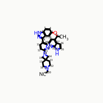 CC(Oc1ccc2[nH]nc(-c3ccc(N4CC5(CCN(CC#N)CC5)C4)nc3)c2c1)c1ccnc2[nH]ccc12